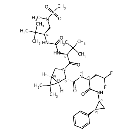 CN(C[C@@H](NC(=O)N[C@H](C(=O)N1C[C@H]2[C@@H]([C@H]1C(=O)N[C@@H](CC(F)F)C(=O)N[C@H]1C[C@H]1c1ccccc1)C2(C)C)C(C)(C)C)C(C)(C)C)S(C)(=O)=O